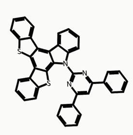 c1ccc(-c2cc(-c3ccccc3)nc(-n3c4ccccc4c4c5c6ccccc6sc5c5c6ccccc6sc5c43)n2)cc1